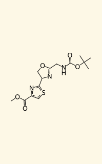 COC(=O)c1csc(C2COC(CNC(=O)OC(C)(C)C)=N2)n1